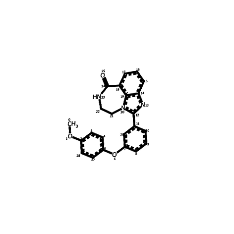 COc1ccc(Oc2cccc(-c3nc4cccc5c4n3CCNC5=O)c2)cc1